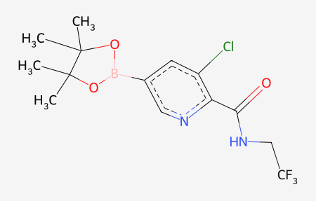 CC1(C)OB(c2cnc(C(=O)NCC(F)(F)F)c(Cl)c2)OC1(C)C